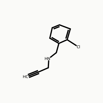 C#CCNCc1ccccc1Cl